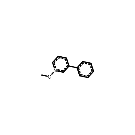 CO[n+]1cccc(-c2ccccc2)c1